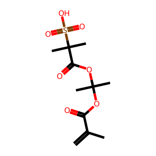 C=C(C)C(=O)OC(C)(C)OC(=O)C(C)(C)S(=O)(=O)O